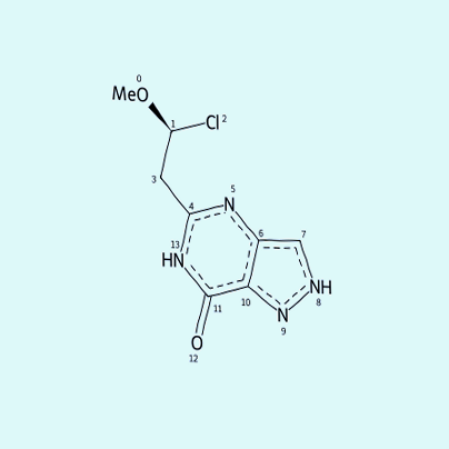 CO[C@@H](Cl)Cc1nc2c[nH]nc2c(=O)[nH]1